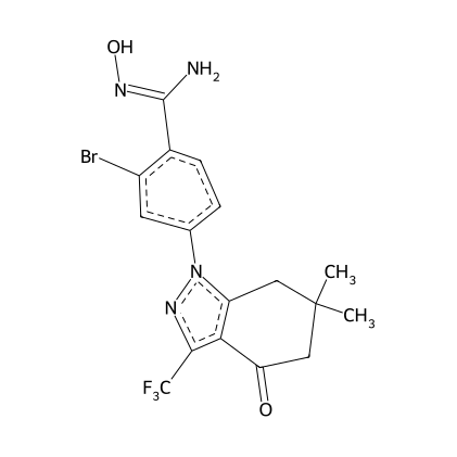 CC1(C)CC(=O)c2c(C(F)(F)F)nn(-c3ccc(/C(N)=N/O)c(Br)c3)c2C1